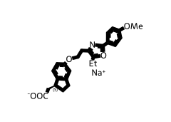 CCc1oc(-c2ccc(OC)cc2)nc1CCOc1ccc2c(c1)CC[C@H]2CC(=O)[O-].[Na+]